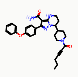 CCCC#CC(=O)N1CCC(C2CCNc3c(C(N)=O)c(-c4ccc(Oc5ccccc5)cc4)nn32)CC1